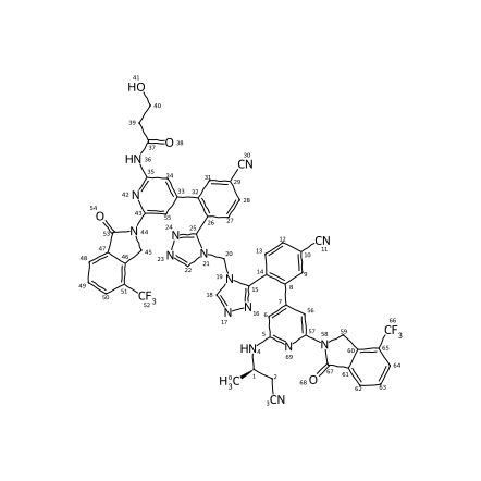 C[C@H](CC#N)Nc1cc(-c2cc(C#N)ccc2-c2nncn2Cn2cnnc2-c2ccc(C#N)cc2-c2cc(NC(=O)CCO)nc(N3Cc4c(cccc4C(F)(F)F)C3=O)c2)cc(N2Cc3c(cccc3C(F)(F)F)C2=O)n1